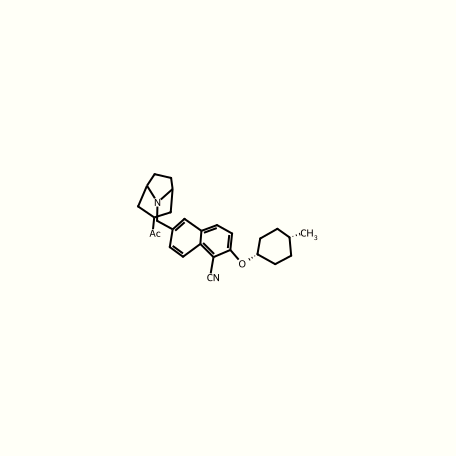 CC(=O)C1CC2CCC(C1)N2Cc1ccc2c(C#N)c(O[C@H]3CC[C@@H](C)CC3)ccc2c1